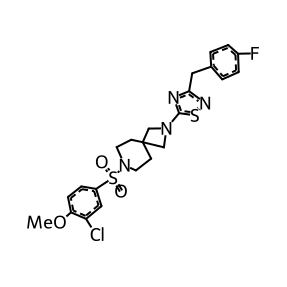 COc1ccc(S(=O)(=O)N2CCC3(CC2)CN(c2nc(Cc4ccc(F)cc4)ns2)C3)cc1Cl